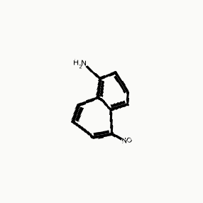 Nc1cccc2c(N=O)cccc12